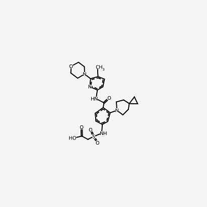 Cc1ccc(NC(=O)c2ccc(NS(=O)(=O)CC(=O)O)cc2N2CCC3(CC2)CC3)nc1N1CCOCC1